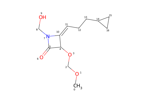 COCOC1C(=O)N(CO)/C1=C/CCC1CC1